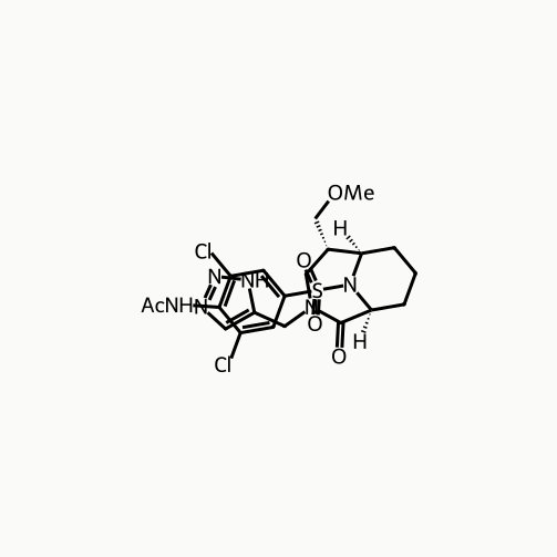 COC[C@H]1CN(Cc2cnn[nH]2)C(=O)[C@@H]2CCC[C@H]1N2S(=O)(=O)c1cc(Cl)c(NC(C)=O)c(Cl)c1